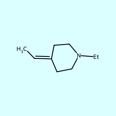 CC=C1CCN(CC)CC1